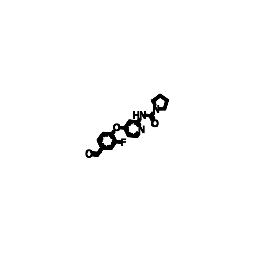 O=Cc1ccc(Oc2ccnc(NC(=O)N3CCCC3)c2)c(F)c1